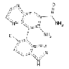 NC(=O)c1cc2nccnc2c(-c2c(Cl)ccc3[nH]ncc23)c1N